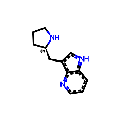 c1cnc2c(C[C@H]3CCCN3)c[nH]c2c1